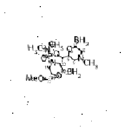 B[C@H]1CN(C)C[C@@H](COP(=O)(N(C)C)N2C[C@@H](COC)O[C@@H](B)C2)O1